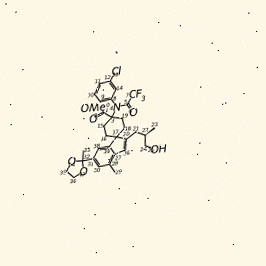 COC(=O)C1(N(C(=O)C(F)(F)F)c2cccc(Cl)c2)CCC2(CC1)C(C[C@@H](C)CO)=Cc1c(C)cc(C3(C)OCCO3)cc12